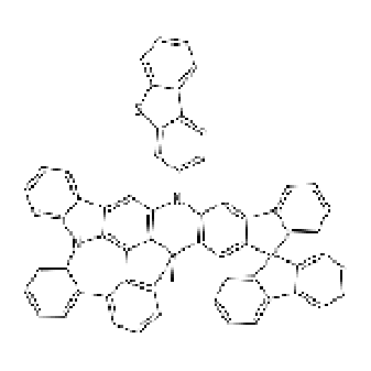 CC12c3cc4c(cc3N(c3ccc5c(c3)sc3ccccc35)c3cc5c6ccccc6n6c5c(c31)-c1c(cccc12)-c1ccccc1-6)-c1ccccc1C41c2ccccc2-c2ccccc21